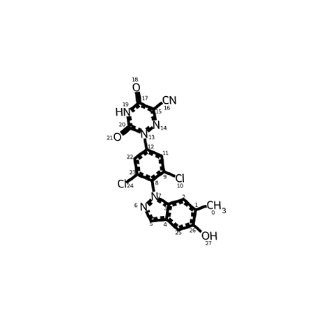 Cc1cc2c(cnn2-c2c(Cl)cc(-n3nc(C#N)c(=O)[nH]c3=O)cc2Cl)cc1O